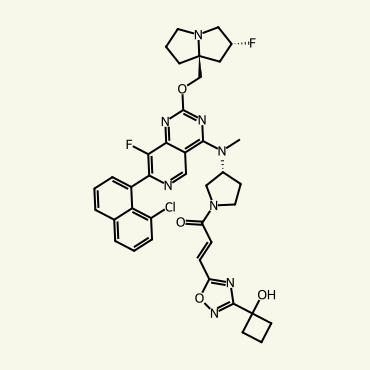 CN(c1nc(OC[C@@]23CCCN2C[C@H](F)C3)nc2c(F)c(-c3cccc4cccc(Cl)c34)ncc12)[C@@H]1CCN(C(=O)C=Cc2nc(C3(O)CCC3)no2)C1